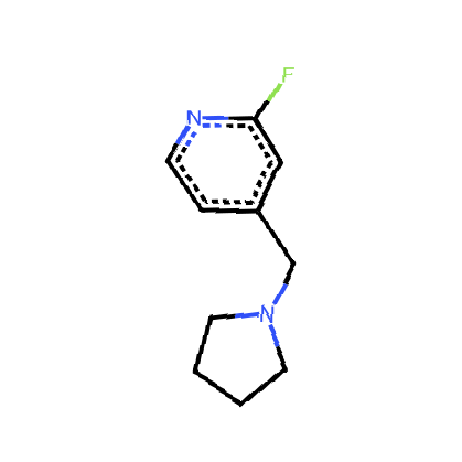 Fc1cc(CN2CCCC2)ccn1